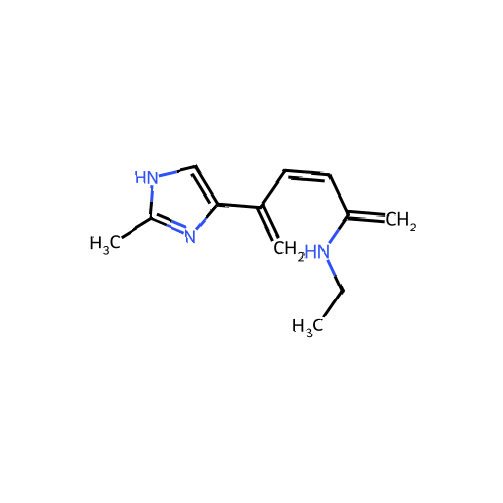 C=C(/C=C\C(=C)c1c[nH]c(C)n1)NCC